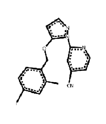 Cc1cc(I)ccc1COc1ccnn1-c1cc(C#N)ccn1